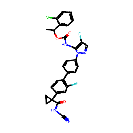 CC(OC(=O)Nc1c(F)cnn1-c1ccc(-c2ccc(C3(C(=O)NC#N)CC3)cc2F)cc1)c1ccccc1Cl